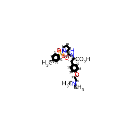 Cc1ccc(S(=O)(=O)N2CCC[C@H]2C(=O)N[C@@H](Cc2ccc(OCCN(C)C)cc2)C(=O)O)cc1